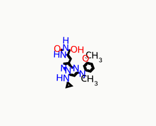 COc1cccc(N(C)c2cc(NC3CC3)n3ncc(/C=C4\NC(=O)NC4O)c3n2)c1